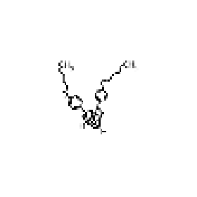 CCCCCOc1ccc(C23CC4C56CC7(c8ccc(OCCCCC)cc8)CC([C@H]5C2)[C@@H](C3)C4(C7)C6)cc1